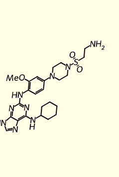 COc1cc(N2CCN(S(=O)(=O)CCN)CC2)ccc1Nc1nc(NC2CCCCC2)c2nc[nH]c2n1